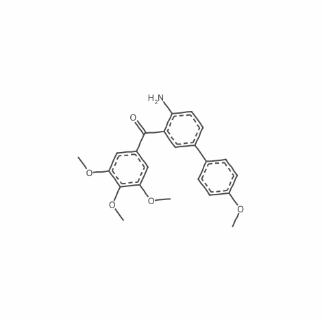 COc1ccc(-c2ccc(N)c(C(=O)c3cc(OC)c(OC)c(OC)c3)c2)cc1